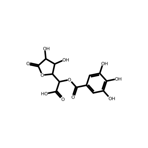 O=C(OC(C(=O)O)C1OC(=O)C(O)C1O)c1cc(O)c(O)c(O)c1